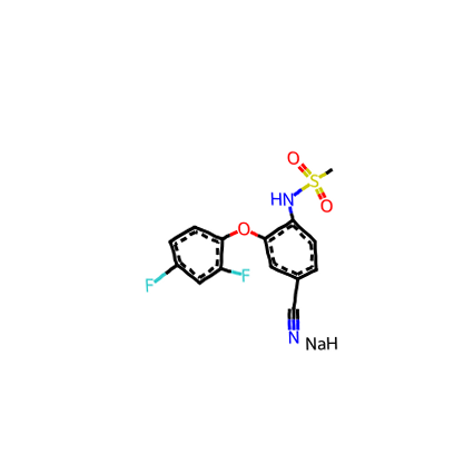 CS(=O)(=O)Nc1ccc(C#N)cc1Oc1ccc(F)cc1F.[NaH]